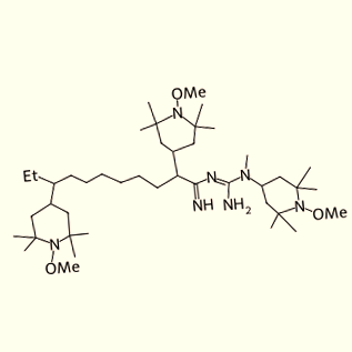 CCC(CCCCCCC(C(=N)/N=C(\N)N(C)C1CC(C)(C)N(OC)C(C)(C)C1)C1CC(C)(C)N(OC)C(C)(C)C1)C1CC(C)(C)N(OC)C(C)(C)C1